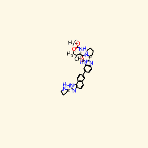 COC(=O)N[C@H](C(=O)N1CCCC[C@H]1c1nc2ccc(-c3ccc4c(ccc5nc([C@@H]6CCCN6)[nH]c54)c3)cc2[nH]1)C(C)C